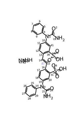 NC(=O)N(c1ccccc1)c1ccc(/C=C/c2ccc(N(C(N)=O)c3ccccc3)cc2S(=O)(=O)O)c(S(=O)(=O)O)c1.[NaH].[NaH]